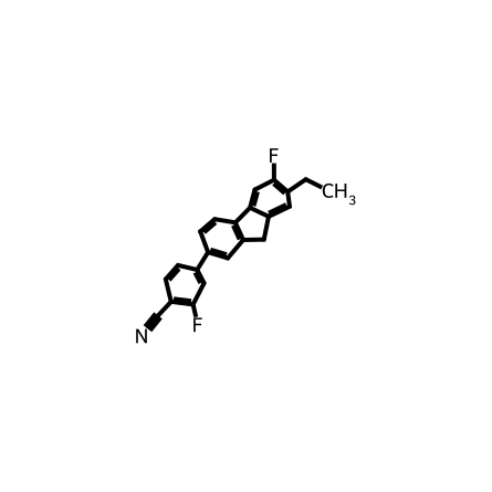 CCc1cc2c(cc1F)-c1ccc(-c3ccc(C#N)c(F)c3)cc1C2